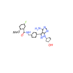 COc1ccc(F)cc1C(=O)NCc1ccc(-c2nn([C@H]3C=C[C@H](O)C3)c3ncnc(N)c23)cc1